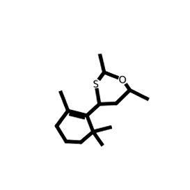 CC1=C(C2CC(C)OC(C)S2)C(C)(C)CCC1